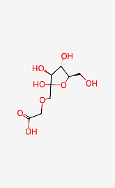 O=C(O)COCC1(O)O[C@H](CO)[C@@H](O)[C@@H]1O